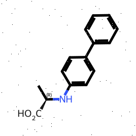 C[C@@H](Nc1ccc(-c2ccccc2)cc1)C(=O)O